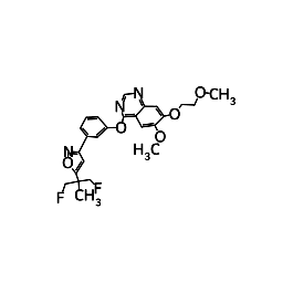 COCCOc1cc2ncnc(Oc3cccc(-c4cc(C(C)(CF)CF)on4)c3)c2cc1OC